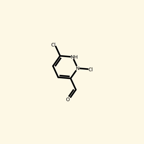 O=CC1=CC=C(Cl)NN1Cl